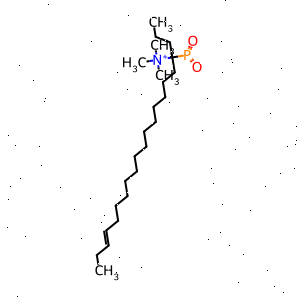 CCC=CCCCCCCCCCCCCCC(CCC)(P(=O)=O)[N+](C)(C)C